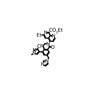 CCOC(=O)c1nc(CC)cc2c(N3CCc4c(cc(Cn5ccnc5)cc4-c4cn(C)nc4C(F)(F)F)C3=O)ccnc12